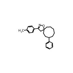 Cc1ccc(C2=NOC3(CCCCCC(c4ccccc4)CC3)C2)cc1